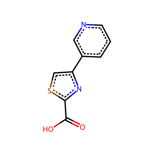 O=C(O)c1nc(-c2cccnc2)cs1